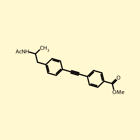 COC(=O)c1ccc(C#Cc2ccc(CC(C)NC(C)=O)cc2)cc1